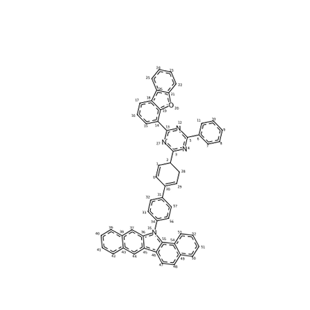 C1=CC(c2nc(-c3ccccc3)nc(-c3cccc4c3oc3ccccc34)n2)CC=C1c1ccc(-n2c3cc4ccccc4cc3c3ccc4ccccc4c32)cc1